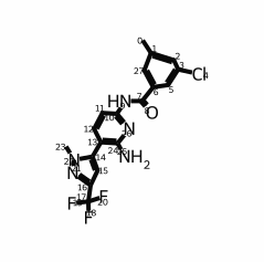 Cc1cc(Cl)cc(C(=O)Nc2ccc(-c3cc(C(F)(F)F)nn3C)c(N)n2)c1